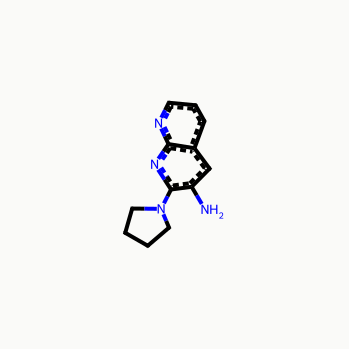 Nc1cc2cccnc2nc1N1CCCC1